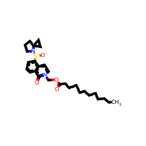 CCCCCCCCCCCC(=O)OCn1ccc2c([S+]([O-])N3CCCC34CC4)cccc2c1=O